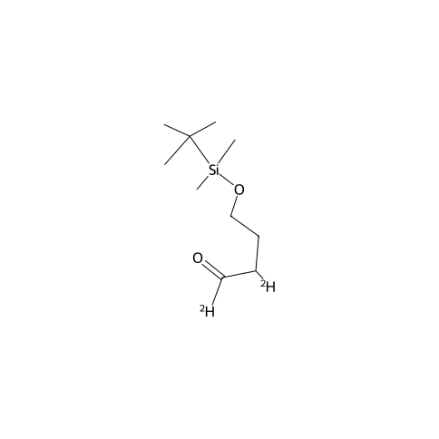 [2H]C(=O)C([2H])CCO[Si](C)(C)C(C)(C)C